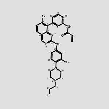 C=CC(=O)Nc1cc(-c2c(F)ccc3cnc(Nc4ccc(N5CCN(CCF)CC5)c(F)c4)nc23)ccn1